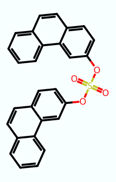 O=S(=O)(Oc1ccc2ccc3ccccc3c2c1)Oc1ccc2ccc3ccccc3c2c1